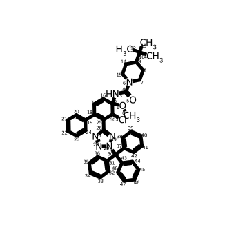 COC1(NC(=O)N2CCC(C(C)(C)C)CC2)C=CC(c2ccccc2)=C(c2nnn(C(c3ccccc3)(c3ccccc3)c3ccccc3)n2)C1Cl